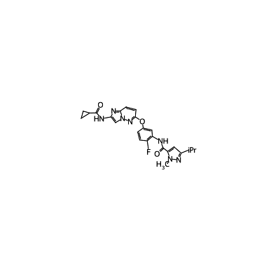 CC(C)c1cc(C(=O)Nc2cc(Oc3ccc4nc(NC(=O)C5CC5)cn4n3)ccc2F)n(C)n1